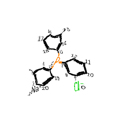 [Cl-].[Na+].c1ccc(P(c2ccccc2)c2ccccc2)cc1